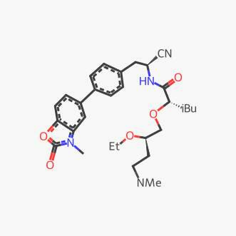 CCO[C@H](CCNC)CO[C@H](C(=O)N[C@H](C#N)Cc1ccc(-c2ccc3oc(=O)n(C)c3c2)cc1)C(C)CC